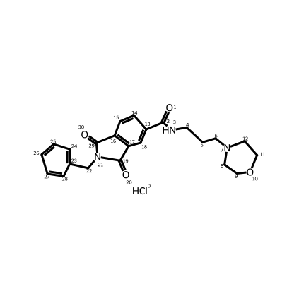 Cl.O=C(NCCCN1CCOCC1)c1ccc2c(c1)C(=O)N(Cc1ccccc1)C2=O